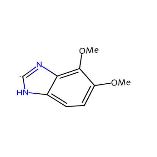 COc1ccc2[nH][c]nc2c1OC